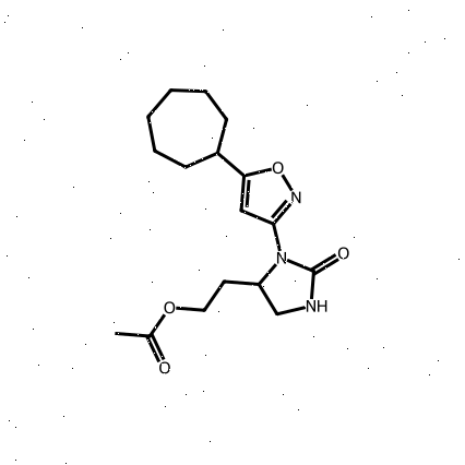 CC(=O)OCCC1CNC(=O)N1c1cc(C2CCCCCC2)on1